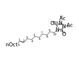 CCCCCCCCC=CCCCCCCCCn1c(=O)n(C(C)=O)n(C(C)=O)c1=O